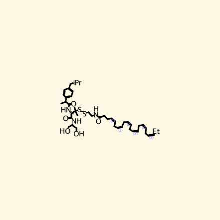 CC/C=C\C/C=C\C/C=C\C/C=C\C/C=C\C/C=C\CCC(=O)NCCSSC(C)(C)[C@H](NC(=O)C(C)c1ccc(CC(C)C)cc1)C(=O)NC(CO)CO